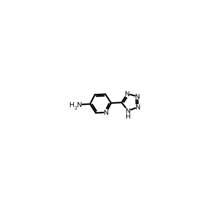 Nc1ccc(-c2nnn[nH]2)nc1